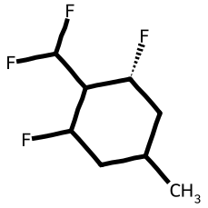 CC1CC(F)C(C(F)F)[C@H](F)C1